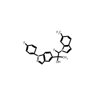 CC(O)(c1ccc2c(cnn2-c2ccc(F)cc2)c1)C(F)n1ccc2ccc(C(F)(F)F)cc21